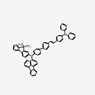 CC1(C)c2ccccc2-c2ccc(N(c3ccc(-c4ccc(/C=C/c5ccc(N(c6ccccc6)c6ccccc6)cc5)cc4)cc3)c3ccc4c5c(cccc35)-c3ccccc3-4)cc21